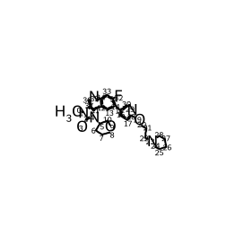 Cn1c(=O)n(C2CCCOC2)c2c3cc(-c4ccc(OCCCN5CCCCC5)nc4)c(F)cc3ncc21